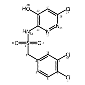 O=S(=O)(Cc1ccc(Cl)c(Cl)c1)Nc1nnc(Cl)cc1O